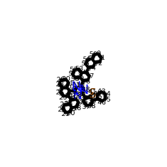 c1ccc2cc(-c3ccc(-c4nc(-c5c(-c6cccc7ccccc67)ccc6ccccc56)nc(-c5cccc6c5sc5ccccc56)n4)c4ccccc34)ccc2c1